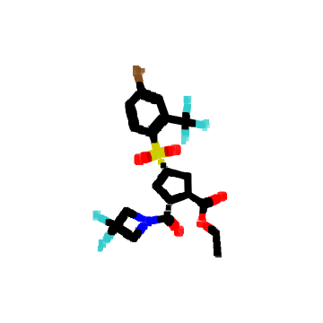 CCOC(=O)[C@@H]1C[C@@H](S(=O)(=O)c2ccc(Br)cc2C(F)(F)F)C[C@H]1C(=O)N1CC(F)(F)C1